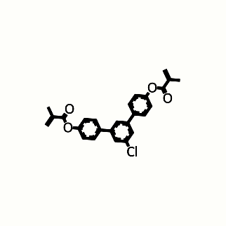 C=C(C)C(=O)Oc1ccc(-c2cc(Cl)cc(-c3ccc(OC(=O)C(=C)C)cc3)c2)cc1